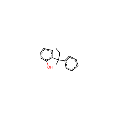 CCC(C)(c1ccccc1)c1ccccc1O